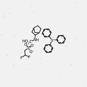 O=C(O)NC1CC2CCC1C2.O=S(=O)([O-])CC(F)F.c1ccc([S+](c2ccccc2)c2ccccc2)cc1